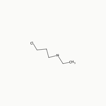 CC[N]CCCCl